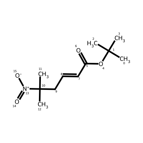 CC(C)(C)OC(=O)/C=C/CC(C)(C)[N+](=O)[O-]